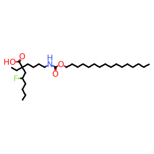 CCCCCCCCCCCCCCCCOC(=O)NCCCCC(CC)(CC(F)CCCC)C(=O)O